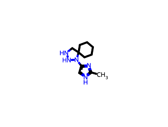 Cc1nc(N2NNCC23CCCCC3)c[nH]1